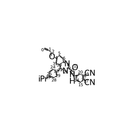 C#CCOc1ccc2nc(C(=O)Nc3ccc(C#N)c(C#N)c3)nc(-c3ccc(C(C)C)cc3)c2c1